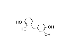 OC1=C(O)CC(CC2CCCC(O)=C2O)CC1